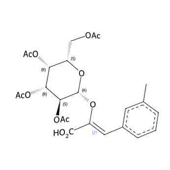 CC(=O)OC[C@@H]1O[C@H](O/C(=C\c2cccc(C)c2)C(=O)O)[C@@H](OC(C)=O)[C@H](OC(C)=O)[C@@H]1OC(C)=O